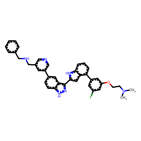 CN(C)CCOc1cc(F)cc(-c2cccc3[nH]c(-c4n[nH]c5ccc(-c6cncc(CNCc7ccccc7)c6)cc45)cc23)c1